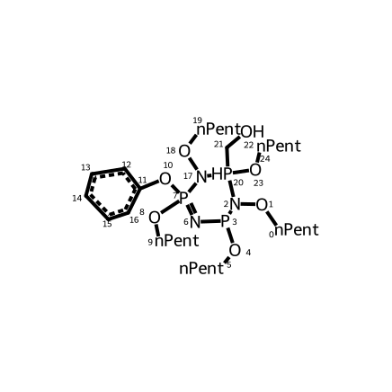 CCCCCON1P(OCCCCC)N=P(OCCCCC)(Oc2ccccc2)N(OCCCCC)[PH]1(CO)OCCCCC